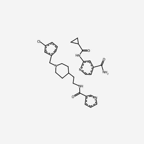 NC(=O)c1ccnc(NC(=O)C2CC2)c1.O=C(NCCC1CCN(Cc2cccc(Cl)c2)CC1)c1cccnc1